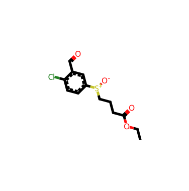 CCOC(=O)CCC[S+]([O-])c1ccc(Cl)c(C=O)c1